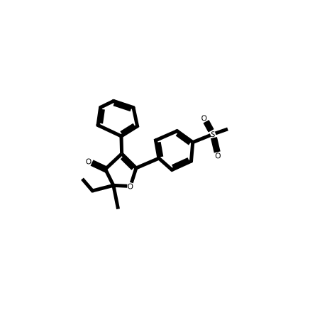 CCC1(C)OC(c2ccc(S(C)(=O)=O)cc2)=C(c2ccccc2)C1=O